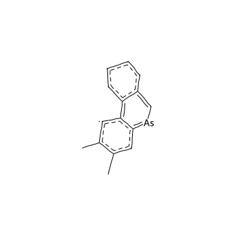 Cc1[c]c2c(cc1C)=[As]C=c1ccccc1=2